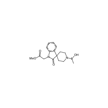 COC(=O)CN1C(=O)C2(CCN(B(C)O)CC2)c2ccccc21